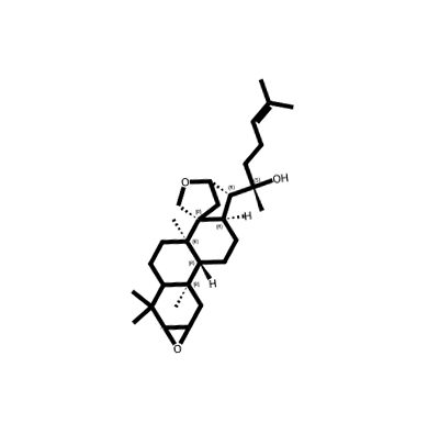 CC(C)=CCC[C@](C)(O)[C@H]1C2C[C@@]3(CO2)[C@@H]1CC[C@@H]1[C@@]2(C)CC4O[C]4C(C)(C)C2CC[C@]13C